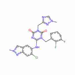 Cn1cnc(Cn2c(=O)nc(Nc3cc4cn(C)nc4cc3Cl)n(Cc3cccc(F)c3F)c2=O)n1